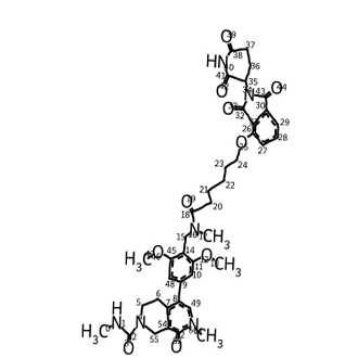 CNC(=O)N1CCc2c(-c3cc(OC)c(CN(C)C(=O)CCCCCOc4cccc5c4C(=O)N(C4CCC(=O)NC4=O)C5=O)c(OC)c3)cn(C)c(=O)c2C1